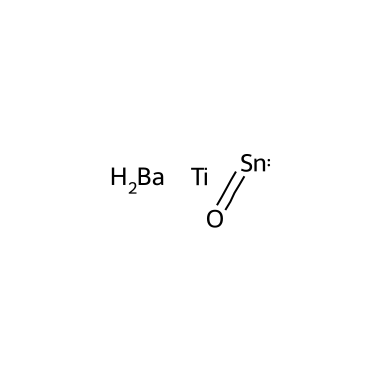 [BaH2].[O]=[Sn].[Ti]